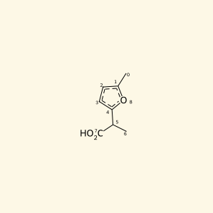 Cc1ccc(C(C)C(=O)O)o1